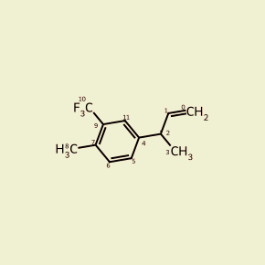 C=C[C](C)c1ccc(C)c(C(F)(F)F)c1